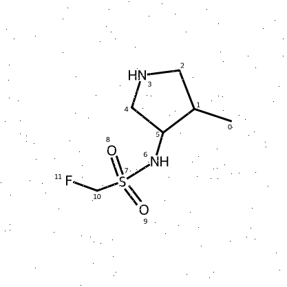 CC1CNCC1NS(=O)(=O)CF